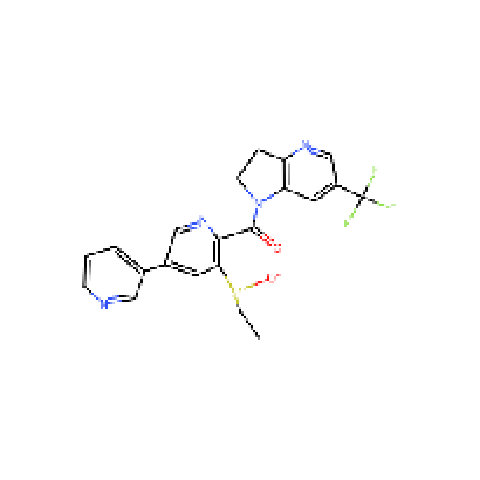 CC[S+]([O-])c1cc(-c2cccnc2)cnc1C(=O)N1CCc2ncc(C(F)(F)F)cc21